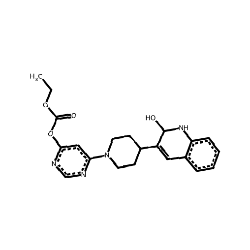 CCOC(=O)Oc1cc(N2CCC(C3=Cc4ccccc4NC3O)CC2)ncn1